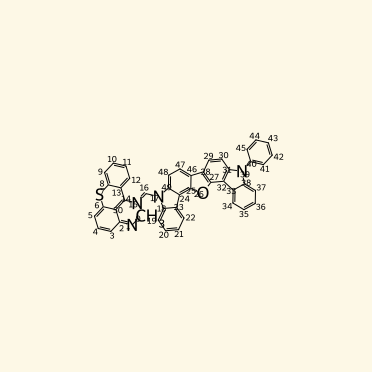 C/N=c1/cccc2sc3ccccc3c(/N=C/n3c4ccccc4c4c5oc6c(ccc7c6c6ccccc6n7-c6ccccc6)c5ccc43)c1-2